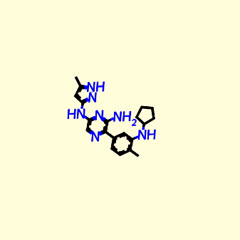 Cc1cc(Nc2cnc(-c3ccc(C)c(NC4CCCC4)c3)c(N)n2)n[nH]1